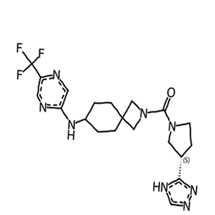 O=C(N1CC[C@H](c2nnc[nH]2)C1)N1CC2(CCC(Nc3cnc(C(F)(F)F)cn3)CC2)C1